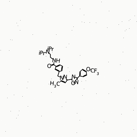 Cc1cc(-c2nc(-c3ccc(OC(F)(F)F)cc3)no2)nn1Cc1cccc(C(=O)NCCN(C(C)C)C(C)C)c1